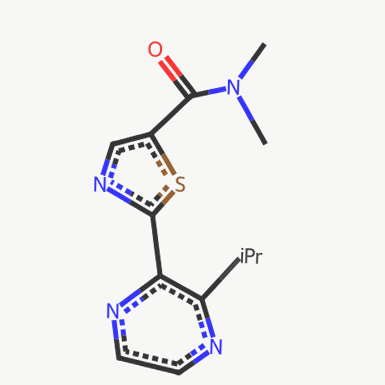 CC(C)c1nccnc1-c1ncc(C(=O)N(C)C)s1